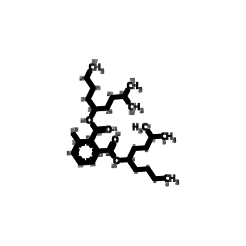 CCCCC(CCC(C)C)OC(=O)c1cccc(I)c1C(=O)OC(CCCC)CCC(C)C